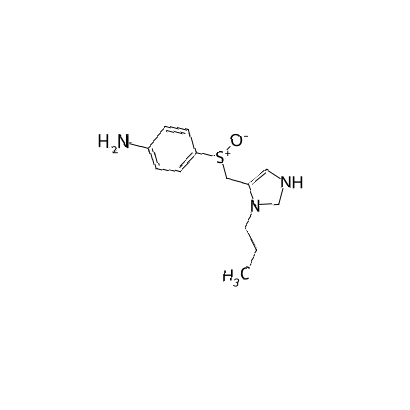 CCCN1CNC=C1C[S+]([O-])c1ccc(N)cc1